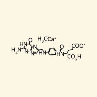 Nc1nc2ncc(CNc3ccc(C(=O)NC(CCC(=O)[O-])C(=O)O)cc3)nc2c(=O)[nH]1.[CH3][Ca+]